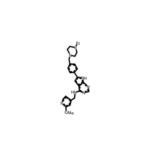 CCN1CCN(Cc2ccc(-c3cc4c(NCc5ccnc(OC)c5)ncnc4[nH]3)cc2)CC1